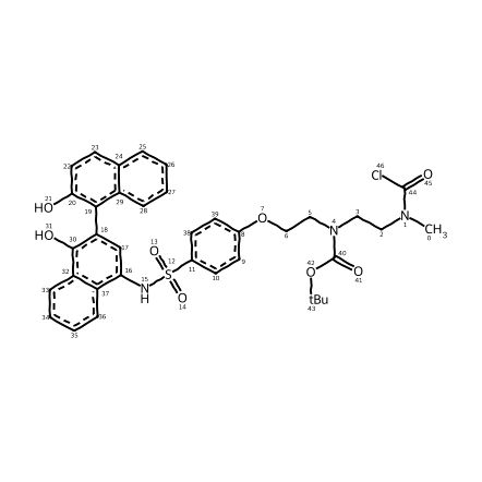 CN(CCN(CCOc1ccc(S(=O)(=O)Nc2cc(-c3c(O)ccc4ccccc34)c(O)c3ccccc23)cc1)C(=O)OC(C)(C)C)C(=O)Cl